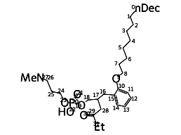 CCCCCCCCCCCCCCCCCCOc1ccccc1CC(COP(=O)(O)OCCCNC)CC(=O)CC